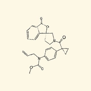 C=CCN(C(=O)OC)c1ccc(C2(C(=O)N3CC[C@@]4(C3)OC(=O)c3ccccc34)CC2)cc1